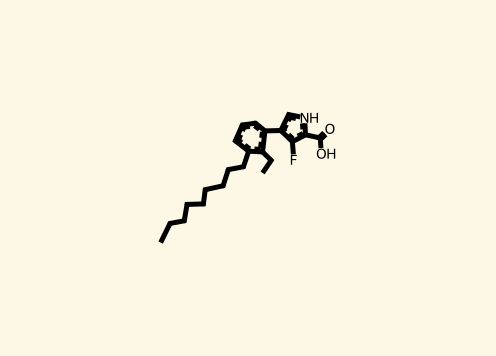 CCCCCCCCCc1cccc(-c2c[nH]c(C(=O)O)c2F)c1CC